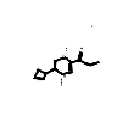 CCC(=O)C1=C[C@H](I)C(C2CCC2)C[C@@H]1C